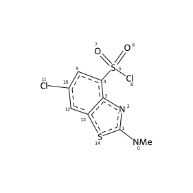 CNc1nc2c(S(=O)(=O)Cl)cc(Cl)cc2s1